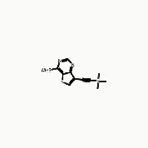 CSc1ncnc2c(C#C[Si](C)(C)C)csc12